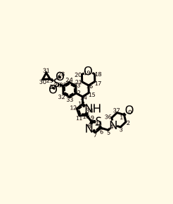 O=C1CCN(Cc2cnc(-c3ccc(C(CC4CCOCC4)c4ccc(S(=O)(=O)C5CC5)cc4)[nH]3)s2)CC1